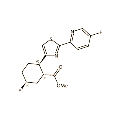 COC(=O)[C@@H]1C[C@@H](F)CC[C@H]1c1csc(-c2ccc(F)cn2)n1